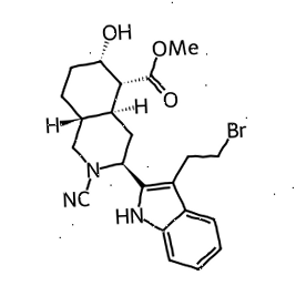 COC(=O)[C@@H]1[C@H]2C[C@@H](c3[nH]c4ccccc4c3CCBr)N(C#N)C[C@@H]2CC[C@@H]1O